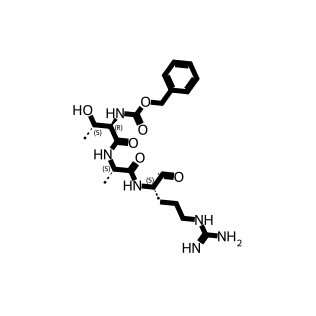 C[C@H](NC(=O)[C@H](NC(=O)OCc1ccccc1)[C@H](C)O)C(=O)N[C@H]([C]=O)CCCNC(=N)N